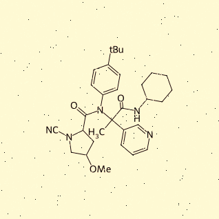 COC1CC(C(=O)N(c2ccc(C(C)(C)C)cc2)C(C)(C(=O)NC2CCCCC2)c2cccnc2)N(C#N)C1